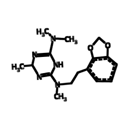 CC1N=C(N(C)C)NC(N(C)CCc2cccc3c2OCO3)=N1